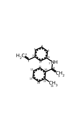 C=Cc1cccc(NC(=C)c2ccccc2C)c1